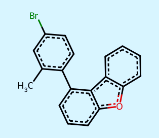 Cc1cc(Br)ccc1-c1cccc2oc3ccccc3c12